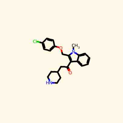 Cn1c(COc2ccc(Cl)cc2)c(C(=O)CC2CCNCC2)c2ccccc21